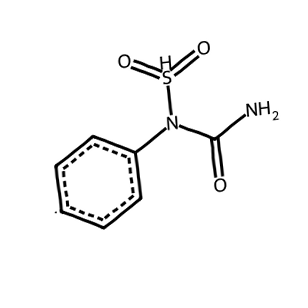 NC(=O)N(c1cc[c]cc1)[SH](=O)=O